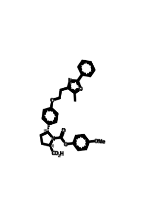 COc1ccc(OC(=O)N2[C@@H](C(=O)O)CC[C@@H]2c2ccc(OCCc3nc(-c4ccccc4)oc3C)cc2)cc1